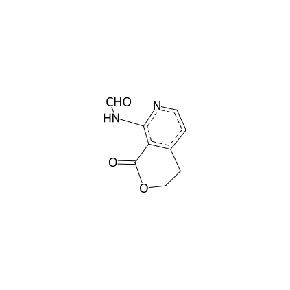 O=CNc1nccc2c1C(=O)OCC2